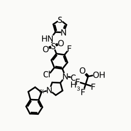 CN(c1cc(F)c(S(=O)(=O)Nc2cscn2)cc1Cl)C1CCN([C@@H]2CCc3ccccc32)C1.O=C(O)C(F)(F)F